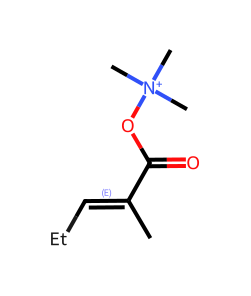 CC/C=C(\C)C(=O)O[N+](C)(C)C